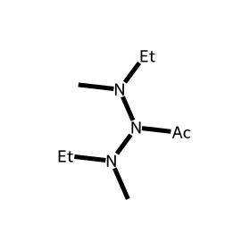 CCN(C)N(C(C)=O)N(C)CC